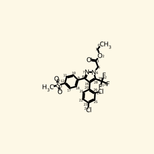 CCOC(=O)Cn1nc(-c2ccc(S(C)(=O)=O)cc2)c(-c2ccc(Cl)cc2Cl)c1C(F)(F)F